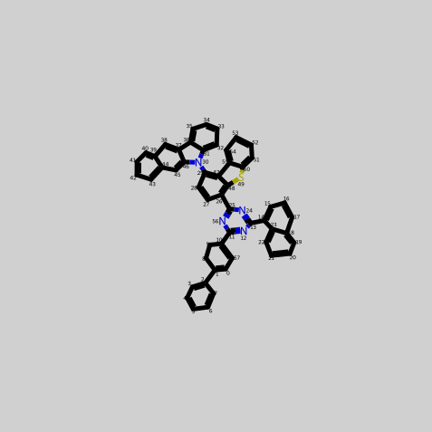 C1=C(c2ccccc2)CCC(c2nc(-c3cccc4ccccc34)nc(-c3ccc(-n4c5ccccc5c5cc6ccccc6cc54)c4c3sc3ccccc34)n2)=C1